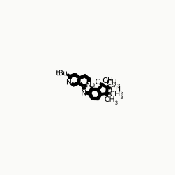 CC(C)(C)c1cc2ccn3c(nc4ccc5c(c43)C(C)(C)C(C)(C)C5(C)C)c2cn1